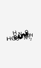 N[C@@H](Cc1ccc(OBO)cn1)C(=O)O